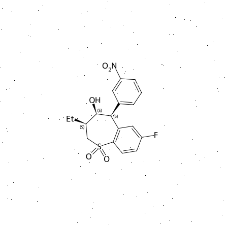 CC[C@@H]1CS(=O)(=O)c2ccc(F)cc2[C@H](c2cccc([N+](=O)[O-])c2)[C@@H]1O